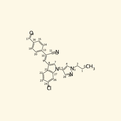 CCCn1cc(-n2cc(/C=C(\C#N)c3ccc(C=O)cc3)c3ccc(Cl)cc32)cn1